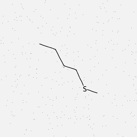 CC[CH]CSC